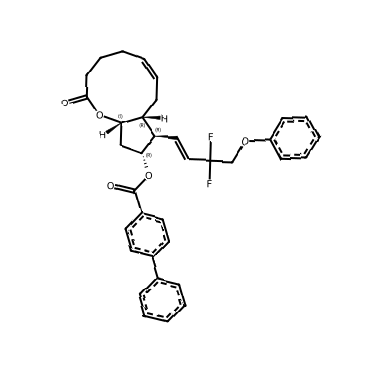 O=C1CCCC=CC[C@@H]2[C@@H](C=CC(F)(F)COc3ccccc3)[C@H](OC(=O)c3ccc(-c4ccccc4)cc3)C[C@@H]2O1